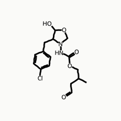 CC(CC=O)COC(=O)NN1COC(O)C1Cc1ccc(Cl)cc1